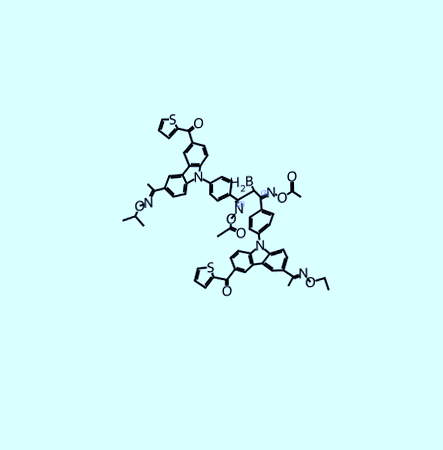 BC(/C(=N/OC(C)=O)c1ccc(-n2c3ccc(C(=O)c4cccs4)cc3c3cc(C(C)=NOCC)ccc32)cc1)/C(=N/OC(C)=O)c1ccc(-n2c3ccc(C(=O)c4cccs4)cc3c3cc(C(C)=NOC(C)C)ccc32)cc1